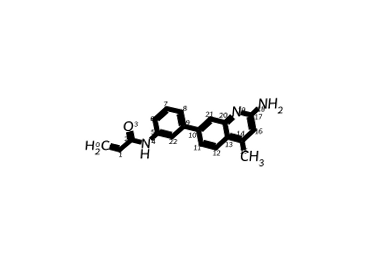 C=CC(=O)Nc1cccc(-c2ccc3c(C)cc(N)nc3c2)c1